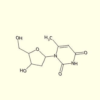 Cc1cc(=O)[nH]c(=O)n1C1CC(O)C(CO)O1